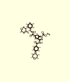 CCOC(=O)n1nc(NC(=O)c2ccc(N3CCOCC3)cc2)c2cc(C(=O)N[C@H](CN3CCOCC3)c3ccccc3)sc21